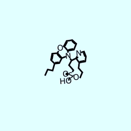 CCCc1ccc2c(c1)N(C(CCS(=O)(=O)O)c1ncccc1CCC)c1ccccc1O2